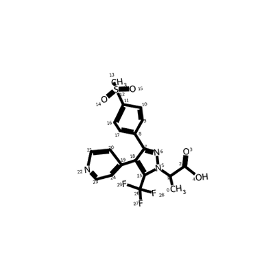 CC(C(=O)O)n1nc(-c2ccc(S(C)(=O)=O)cc2)c(-c2ccncc2)c1C(F)(F)F